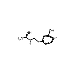 Cc1ccc(CCNC(=N)N)cc1O